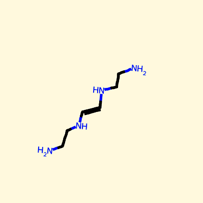 NCCNC=CNCCN